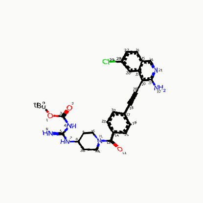 CC(C)(C)OC(=O)NC(=N)NC1CCN(C(=O)c2ccc(C#Cc3c(N)ncc4ccc(Cl)cc34)cc2)CC1